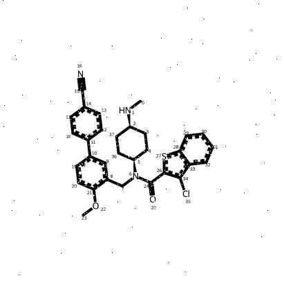 CN[C@H]1CC[C@@H](N(Cc2cc(-c3ccc(C#N)cc3)ccc2OC)C(=O)c2sc3ccccc3c2Cl)CC1